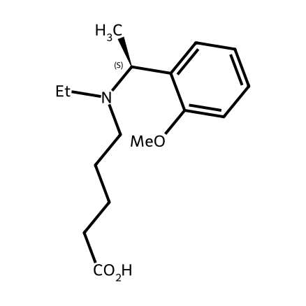 CCN(CCCCC(=O)O)[C@@H](C)c1ccccc1OC